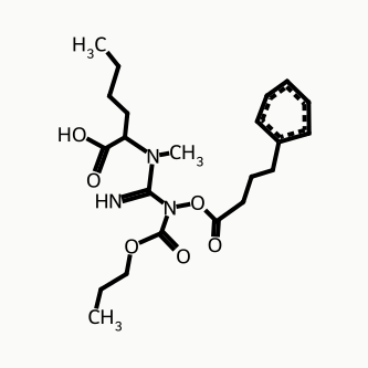 CCCCC(C(=O)O)N(C)C(=N)N(OC(=O)CCCc1ccccc1)C(=O)OCCC